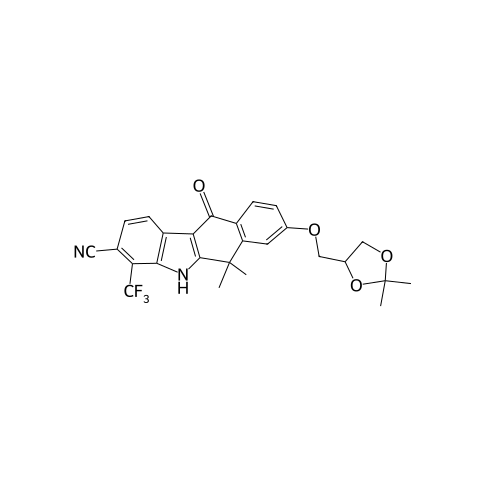 CC1(C)OCC(COc2ccc3c(c2)C(C)(C)c2[nH]c4c(C(F)(F)F)c(C#N)ccc4c2C3=O)O1